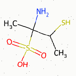 CC(S)C(C)(N)S(=O)(=O)O